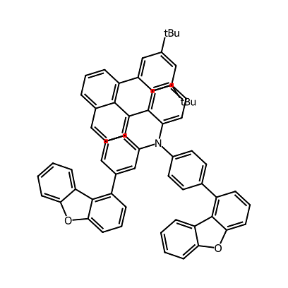 CC(C)(C)c1cc(-c2cccc3cccc(-c4ccccc4N(c4ccc(-c5cccc6oc7ccccc7c56)cc4)c4cccc(-c5cccc6oc7ccccc7c56)c4)c23)cc(C(C)(C)C)c1